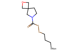 CCCCCCCCCCCCSSC(=S)N1CCC2(COC2)C1